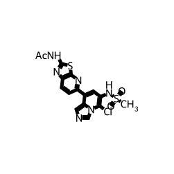 CC(=O)Nc1nc2ccc(-c3cc(NS(C)(=O)=O)c(Cl)n4cncc34)nc2s1